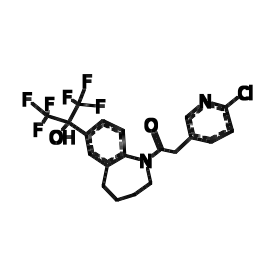 O=C(Cc1ccc(Cl)nc1)N1CCCCc2cc(C(O)(C(F)(F)F)C(F)(F)F)ccc21